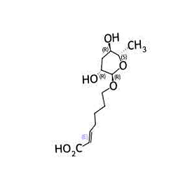 C[C@@H]1O[C@@H](OCCCC/C=C/C(=O)O)[C@H](O)C[C@H]1O